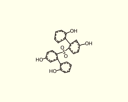 O=S(=O)(c1ccc(O)cc1-c1ccccc1O)c1ccc(O)cc1-c1ccccc1O